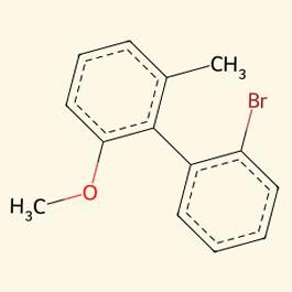 COc1cccc(C)c1-c1ccccc1Br